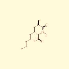 C=C(CCCCCCC)C(=O)N(C)CC(C)=O